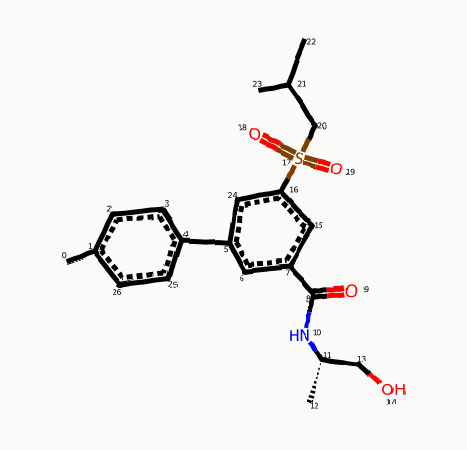 Cc1ccc(-c2cc(C(=O)N[C@@H](C)CO)cc(S(=O)(=O)CC(C)C)c2)cc1